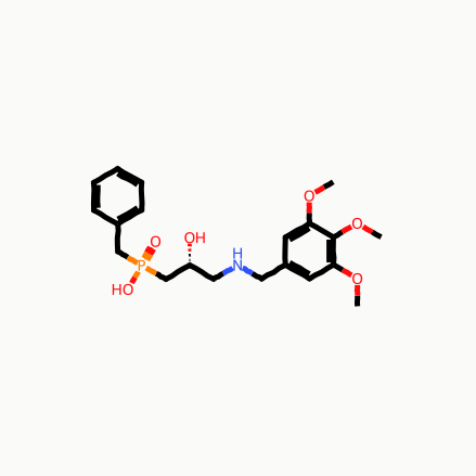 COc1cc(CNC[C@@H](O)CP(=O)(O)Cc2ccccc2)cc(OC)c1OC